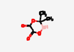 CC1(C)BOC(=O)C(=O)O1